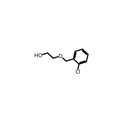 OCCOCc1ccccc1Cl